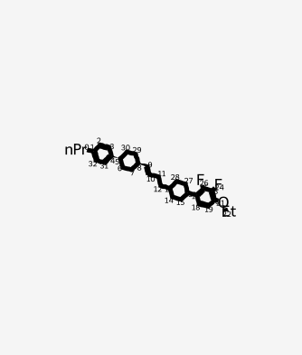 CCCc1ccc([C@H]2CC[C@H](/C=C/CCC3CCC(c4ccc(OCC)c(F)c4F)CC3)CC2)cc1